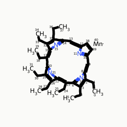 CCC1=C(CC)C2=NC1=CC1=NC(=CC3=NC(=C(CC)C4=NC(=C2CC)C(CC)=C4CC)C(CC)=C3CC)C=C1.[Mn]